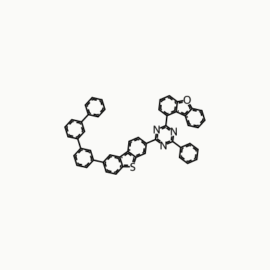 c1ccc(-c2cccc(-c3cccc(-c4ccc5sc6cc(-c7nc(-c8ccccc8)nc(-c8cccc9oc%10ccccc%10c89)n7)ccc6c5c4)c3)c2)cc1